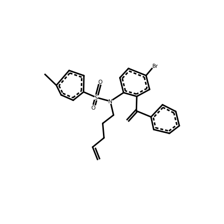 C=CCCCN(c1ccc(Br)cc1C(=C)c1ccccc1)S(=O)(=O)c1ccc(C)cc1